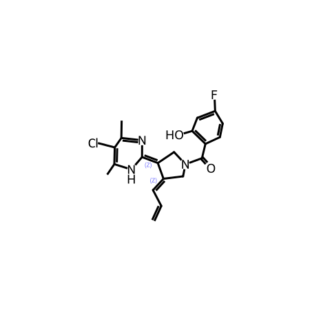 C=C/C=C1\CN(C(=O)c2ccc(F)cc2O)C\C1=C1/N=C(C)C(Cl)=C(C)N1